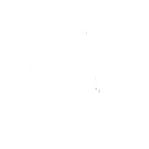 CC[N+](CC)(CC)CC.[O-]c1ccc2ccccc2c1